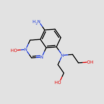 Nc1ccc(N(CCO)CCO)c2c1CN(O)C=N2